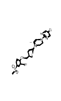 C[C@@H]1CN(c2ncc(Cl)cn2)CCN1C1CCC(COc2ccc(S(C)(=O)=O)cc2F)CC1